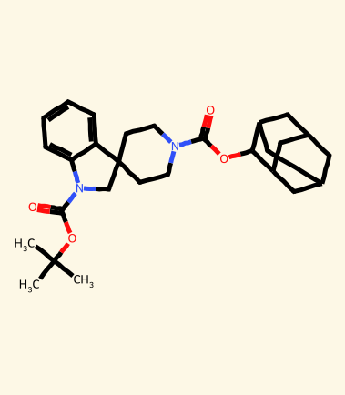 CC(C)(C)OC(=O)N1CC2(CCN(C(=O)OC3C4CC5CC(C4)CC3C5)CC2)c2ccccc21